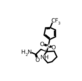 NC(=O)C[C@@]1(S(=O)(=O)c2ccc(C(F)(F)F)cc2)CCCCN1